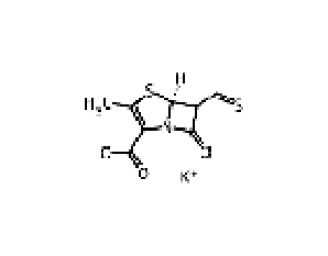 CC1=C(C(=O)[O-])N2C(=O)C(C=S)[C@@H]2S1.[K+]